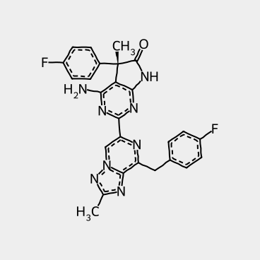 Cc1nc2c(Cc3ccc(F)cc3)nc(-c3nc(N)c4c(n3)NC(=O)[C@@]4(C)c3ccc(F)cc3)cn2n1